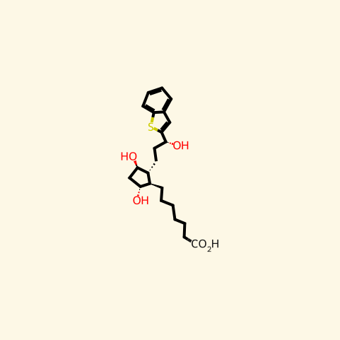 O=C(O)CCCCCC[C@@H]1[C@@H](CC[C@@H](O)c2cc3ccccc3s2)[C@H](O)C[C@H]1O